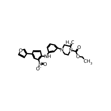 CCOC(=O)N1CCN(c2cccc(Nc3ccc(-c4ccoc4)cc3[N+](=O)[O-])c2)CC1C